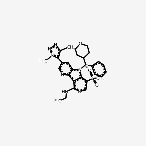 Cc1nnn(C)c1-c1cnc2c3c(NCC(F)(F)F)ncc(S(C)(=O)=O)c3n([C@H](c3ccccc3)C3CCOCC3)c2c1